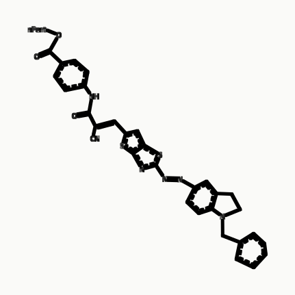 CCCCCOC(=O)c1ccc(NC(=O)/C(C#N)=C/c2cc3sc(/N=N/c4ccc5c(c4)CCN5Cc4ccccc4)nc3s2)cc1